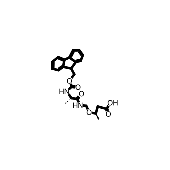 C[C@H](CC(=O)O)OCNC(=O)[C@H](C)NC(=O)OCC1c2ccccc2-c2ccccc21